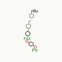 CCCC[C@H]1CC[C@H](CCC2CCC(c3ccc(C(F)(F)Oc4ccc(OC(F)F)cc4)cc3)CC2)CC1